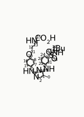 Cc1cnc(Nc2ccc(OCCCNC(=O)O)cc2)nc1Nc1cccc(S(=O)(=O)NC(C)(C)C)c1